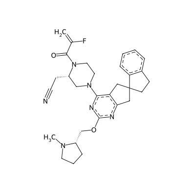 C=C(F)C(=O)N1CCN(c2nc(OC[C@@H]3CCCN3C)nc3c2CC2(CCc4ccccc42)C3)C[C@@H]1CC#N